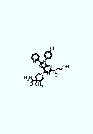 CN(CCO)c1nc(N2CCC(C)(C(N)=O)CC2)c2nc(-c3ccccn3)n(-c3ccc(Cl)cc3)c2n1